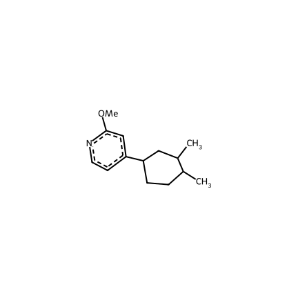 COc1cc(C2CCC(C)C(C)C2)ccn1